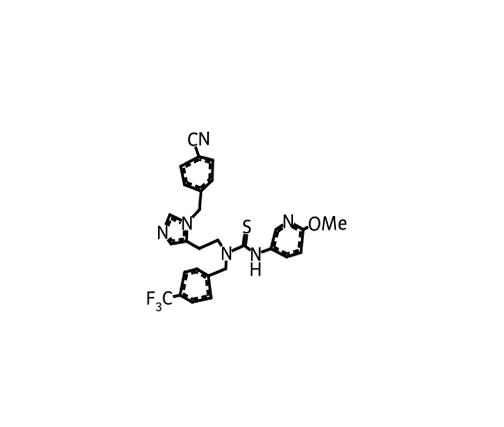 COc1ccc(NC(=S)N(CCc2cncn2Cc2ccc(C#N)cc2)Cc2ccc(C(F)(F)F)cc2)cn1